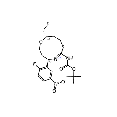 CC(C)(C)OC(=O)N/C1=N/[C@@H](c2cc([N+](=O)[O-])ccc2F)CCO[C@H](CF)CCS1